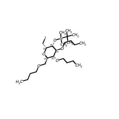 CCCCOC[C@H]1O[C@H](CI)[C@H](O[Si](C)(C)C(C)(C)C)[C@@H](OCCCC)[C@@H]1OCCCC